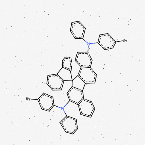 CC(C)c1ccc(N(c2ccccc2)c2ccc3c4c(ccc3c2)-c2c(cc(N(c3ccccc3)c3ccc(C(C)C)cc3)c3ccccc23)C42c3ccccc3-c3ccccc32)cc1